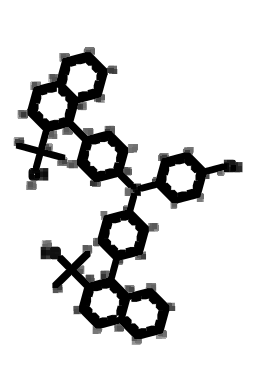 CCC(C)c1ccc(N(c2ccc(-c3c(C(C)(C)O)ccc4ccccc34)cc2)c2ccc(-c3c(C(C)(C)O)ccc4ccccc34)cc2)cc1